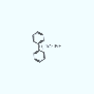 Br.Br.[GeH4].c1ccc(-c2ccccc2)cc1